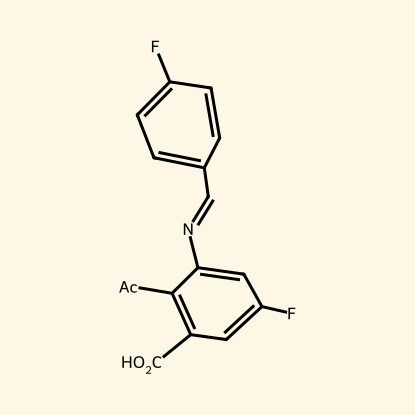 CC(=O)c1c(N=Cc2ccc(F)cc2)cc(F)cc1C(=O)O